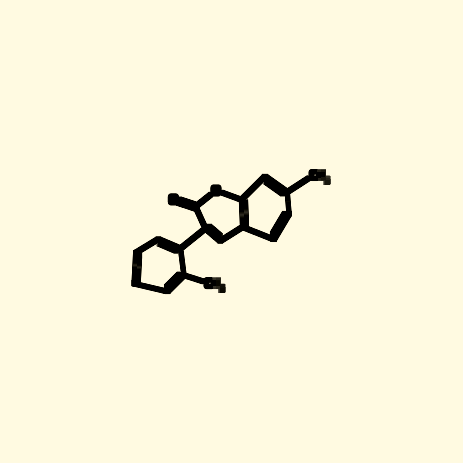 Cc1ccc2cc(-c3ccccc3C)c(=O)oc2c1